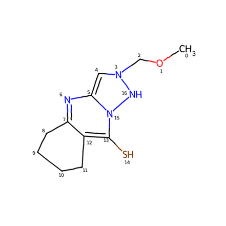 COCN1C=C2N=C3CCCCC3=C(S)N2N1